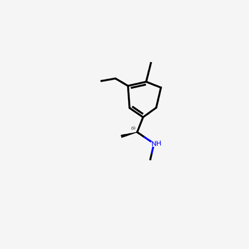 CCC1=C(C)CCC([C@H](C)NC)=C1